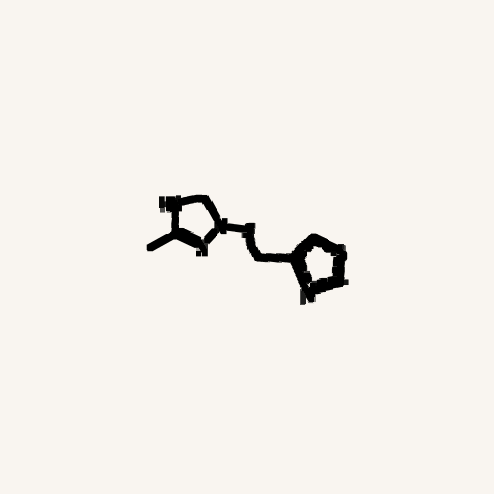 CC1=NN(SCc2cs[c]n2)CN1